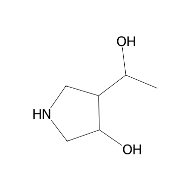 CC(O)C1CNCC1O